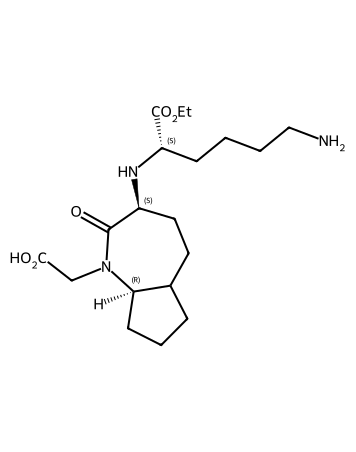 CCOC(=O)[C@H](CCCCN)N[C@H]1CCC2CCC[C@H]2N(CC(=O)O)C1=O